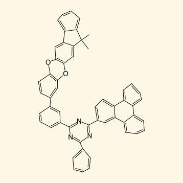 CC1(C)c2ccccc2-c2cc3c(cc21)Oc1cc(-c2cccc(-c4nc(-c5ccccc5)nc(-c5ccc6c7ccccc7c7ccccc7c6c5)n4)c2)ccc1O3